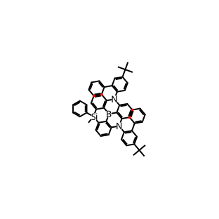 CC(C)(C)c1ccc(N2c3cccc4c3B3c5c2cccc5[Si](C)(c2ccccc2)c2cccc(c23)N4c2ccc(C(C)(C)C)cc2-c2ccccc2)c(-c2ccccc2)c1